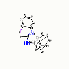 CC(=Nc1ccccc1I)NC1C2CC3CC(C2)CC1C3